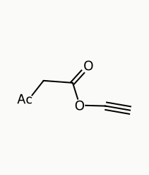 C#COC(=O)CC(C)=O